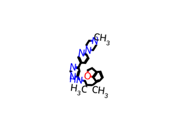 CC(c1cccc2c1OCC2)[C@H](C)CNc1cc(-c2ccc(N3CCN(C)CC3)nc2)ncn1